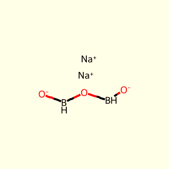 [Na+].[Na+].[O-]BOB[O-]